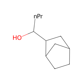 CCCC(O)C1CC2CCC1C2